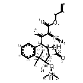 C=CCOC(=O)C(=[N+]=[N-])C(=O)[C@H](c1ccccc1)[C@H]1NC(=O)[C@@H]1[C@@](C)(O[SiH](C)C)C(C)(C)C